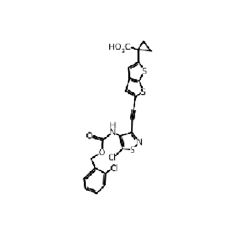 O=C(Nc1c(C#Cc2cc3cc(C4(C(=O)O)CC4)sc3s2)nsc1Cl)OCc1ccccc1Cl